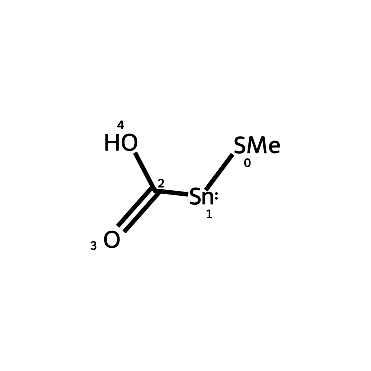 C[S][Sn][C](=O)O